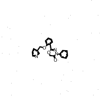 O=C1COC(c2ccccc2OCc2cccnc2)=NN1c1ccccc1